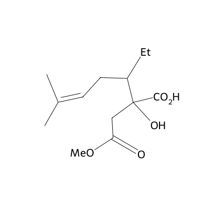 CCC(CC=C(C)C)C(O)(CC(=O)OC)C(=O)O